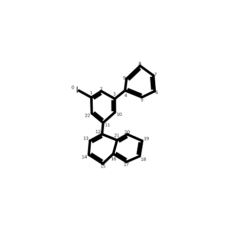 Ic1cc(-c2ccccc2)cc(-c2cccc3ccccc23)c1